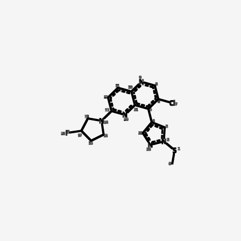 CSn1cc(-c2c(Cl)cnc3ccc(N4CCC(F)C4)nc23)cn1